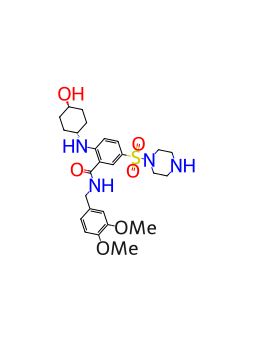 COc1ccc(CNC(=O)c2cc(S(=O)(=O)N3CCNCC3)ccc2N[C@H]2CC[C@H](O)CC2)cc1OC